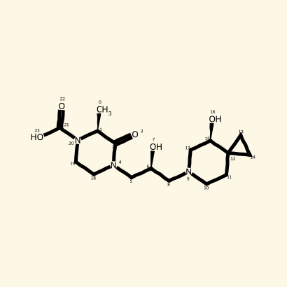 C[C@H]1C(=O)N(C[C@@H](O)CN2CCC3(CC3)[C@H](O)C2)CCN1C(=O)O